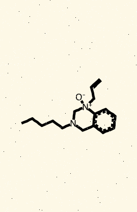 C=CC[N+]1([O-])CN(CCCCC)Cc2ccccc21